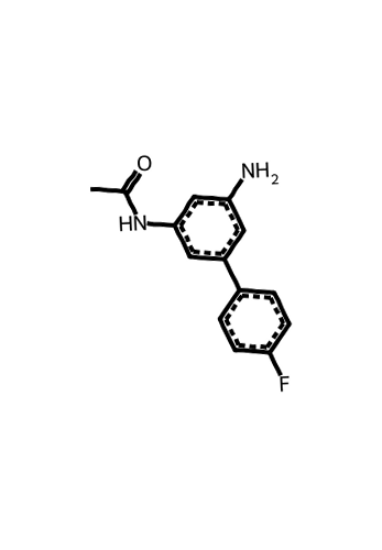 CC(=O)Nc1cc(N)cc(-c2ccc(F)cc2)c1